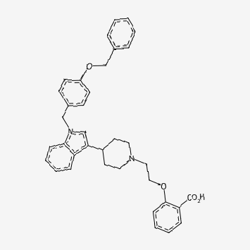 O=C(O)c1ccccc1OCCN1CCC(c2cn(Cc3ccc(OCc4ccccc4)cc3)c3ccccc23)CC1